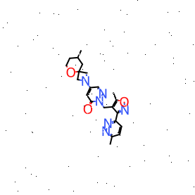 Cc1ccc(-c2noc(C)c2Cn2ncc(N3CC4(CC(C)CCO4)C3)cc2=O)nn1